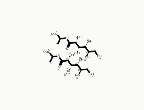 CC(OC(=O)[C@H](O)[C@@H](O)[C@H](O)[C@H](O)CO)C(=O)[O-].CC(OC(=O)[C@H](O)[C@@H](O)[C@H](O)[C@H](O)CO)C(=O)[O-].[Ca+2]